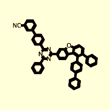 N#Cc1cccc(-c2ccc(-c3nc(-c4ccccc4)nc(-c4ccc5c(c4)oc4ccc(-c6ccccc6)c(-c6ccc(-c7ccccc7)cc6)c45)n3)cc2)c1